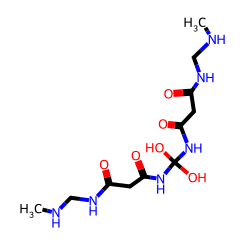 CNCNC(=O)CC(=O)NC(O)(O)NC(=O)CC(=O)NCNC